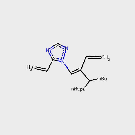 C=C/C(=C\n1ncnc1C=C)C(CCCC)CCCCCCC